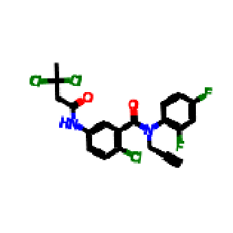 C#CCN(C(=O)c1cc(NC(=O)CC(C)(Cl)Cl)ccc1Cl)c1ccc(F)cc1F